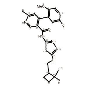 COc1cnc(Cl)cc1-c1cc(C)ncc1C(=O)Nc1nnc(OCC2CCC2(F)F)s1